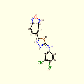 Clc1cc(Nc2nnc(-c3ccc4nonc4c3)s2)ccc1Br